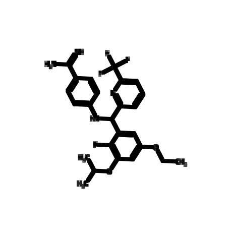 CCOc1cc(OC(C)C)c(F)c(C(Nc2ccc(C(=N)N)cc2)c2cccc(C(F)(F)F)n2)c1